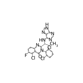 CCC(Nc1ncnc2[nH]cnc12)c1nc2ccc(F)c(Cl)c2c(=O)n1-c1c(Cl)cccc1Cl